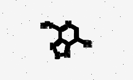 CCCc1ncc(CC)c2nsnc12